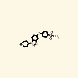 CS(=O)(=O)c1ccc(Oc2ccc3c(c2)nnn3C2CCNCC2)cc1